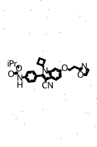 CC(C)OC(=O)Nc1ccc(-c2c(C#N)c3ccc(OCCc4ncco4)cc3n2C2CCC2)cc1